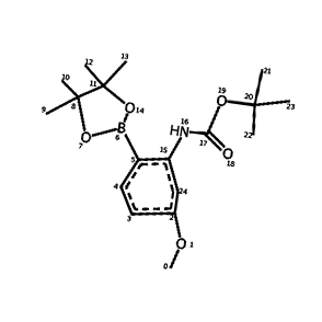 COc1ccc(B2OC(C)(C)C(C)(C)O2)c(NC(=O)OC(C)(C)C)c1